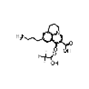 NCCCc1cc2c3c(c1)c(=O)c(C(=O)O)cn3CCC2.O=C(O)C(F)(F)F